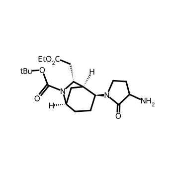 CCOC(=O)C[C@@H]1[C@@H]2C[C@@H](CC[C@@H]2N2CCC(N)C2=O)N1C(=O)OC(C)(C)C